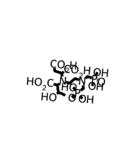 CC(O)C(C(=O)O)N(CCN(CP(=O)(O)O)CP(=O)(O)O)C(CC(=O)O)C(=O)O